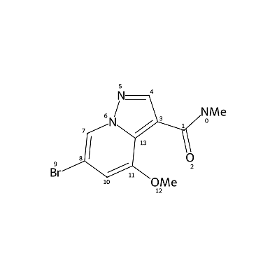 CNC(=O)c1cnn2cc(Br)cc(OC)c12